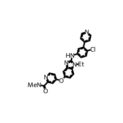 CCn1c(Nc2ccc(Cl)c(-c3ccncc3)c2)nc2cc(Oc3ccnc(C(=O)NC)c3)ccc21